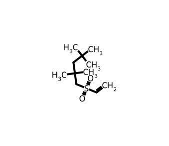 C=CS(=O)(=O)CC(C)(C)CC(C)(C)C